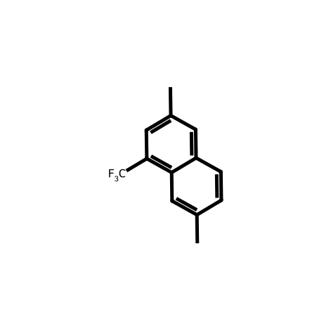 Cc1cc(C(F)(F)F)c2cc(C)ccc2c1